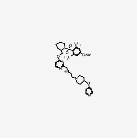 COc1cc(C)c(S(=O)(=O)N2CCCCC2COc2ccnc(CNCCN3CCC(Oc4ccncc4)CC3)n2)c(C)c1